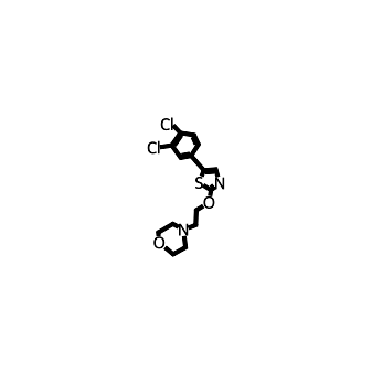 Clc1ccc(-c2cnc(OCCN3CCOCC3)s2)cc1Cl